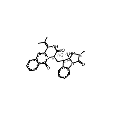 CC(C)=C1NC(=O)[C@@H](C[C@]2(O)c3ccccc3N3C(=O)[C@H](C)N[C@H]32)n2c1nc1ccccc1c2=O